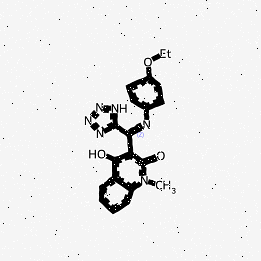 CCOc1ccc(/N=C(\c2nnn[nH]2)c2c(O)c3ccccc3n(C)c2=O)cc1